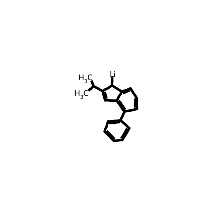 [Li][CH]1C(C(C)C)=Cc2c(-c3ccccc3)cccc21